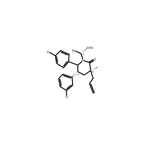 C=CC[C@@]1(C)C[C@H](c2cccc(Cl)c2)C(c2ccc(Cl)cc2)N([C@@H](C=O)CC)C1=O